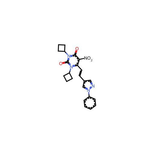 O=c1c([N+](=O)[O-])c(C=Cc2cnn(-c3ccccc3)c2)n(C2CCC2)c(=O)n1C1CCC1